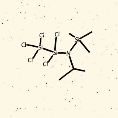 CC(C)N([Si](C)(C)C)[Si](Cl)(Cl)[Si](Cl)(Cl)Cl